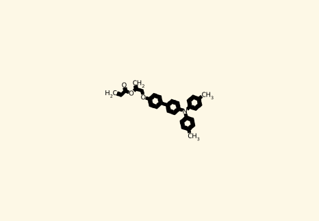 C=CC(=O)OC(=C)COc1ccc(-c2ccc(N(c3ccc(C)cc3)c3ccc(C)cc3)cc2)cc1